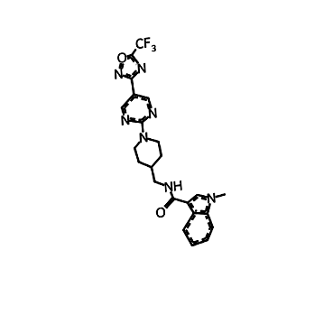 Cn1cc(C(=O)NCC2CCN(c3ncc(-c4noc(C(F)(F)F)n4)cn3)CC2)c2ccccc21